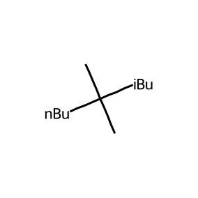 CCCCC(C)(C)C(C)CC